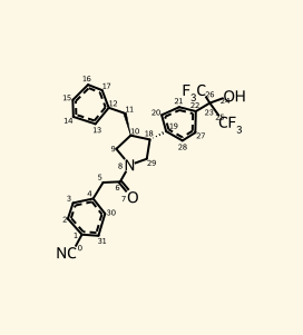 N#Cc1ccc(CC(=O)N2C[C@@H](Cc3ccccc3)[C@H](c3ccc(C(O)(C(F)(F)F)C(F)(F)F)cc3)C2)cc1